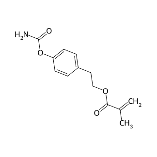 C=C(C)C(=O)OCCc1ccc(OC(N)=O)cc1